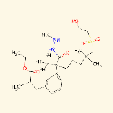 [2H]C([2H])([2H])C(CCCC(C)(C)CS(=O)(=O)CCO)(C(=O)NNC)c1cccc(CC(C)C(=O)OCC)c1